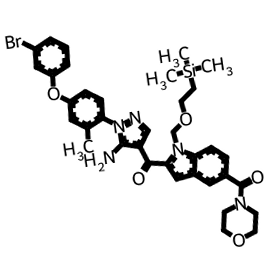 Cc1cc(Oc2cccc(Br)c2)ccc1-n1ncc(C(=O)c2cc3cc(C(=O)N4CCOCC4)ccc3n2COCC[Si](C)(C)C)c1N